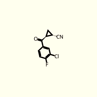 N#C[C@H]1C[C@@H]1C(=O)c1ccc(F)c(Cl)c1